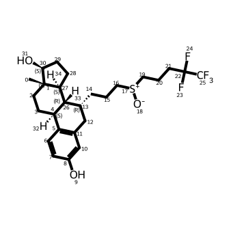 C[C@]12CC[C@@H]3c4ccc(O)cc4C[C@@H](CCC[S+]([O-])CCCC(F)(F)C(F)(F)F)[C@H]3[C@@H]1CC[C@@H]2O